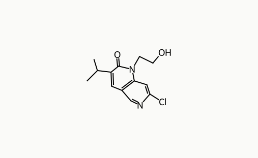 CC(C)c1cc2cnc(Cl)cc2n(CCO)c1=O